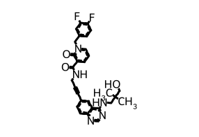 CC(C)(CO)CNc1ncnc2ccc(C#CCNC(=O)c3cccn(Cc4ccc(F)c(F)c4)c3=O)cc12